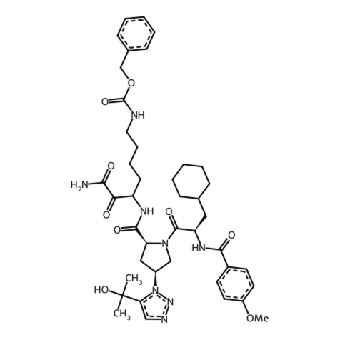 COc1ccc(C(=O)N[C@H](CC2CCCCC2)C(=O)N2C[C@@H](n3nncc3C(C)(C)O)C[C@H]2C(=O)NC(CCCCNC(=O)OCc2ccccc2)C(=O)C(N)=O)cc1